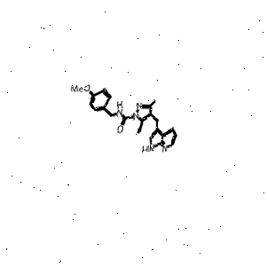 COc1ccc(CNC(=O)n2nc(C)c(Cc3c[nH]c4ncccc34)c2C)cc1